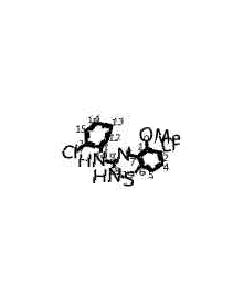 COc1c(Cl)ccc2c1N=C(Nc1ccccc1Cl)NS2